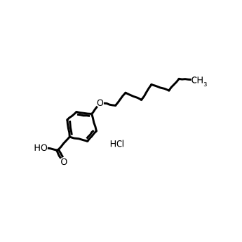 CCCCCCCOc1ccc(C(=O)O)cc1.Cl